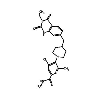 CCn1c(=O)[nH]c2cc(CN3CCN(c4c(Cl)cc(C(=O)NC)nc4C)CC3)ccc2c1=O